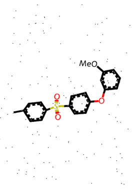 COc1cccc(Oc2ccc(S(=O)(=O)c3ccc(C)cc3)cc2)c1